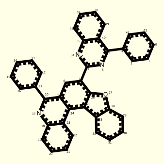 c1ccc(-c2nc(-c3cc4c(-c5ccccc5)nc5ccccc5c4c4c3oc3ccccc34)nc3ccccc23)cc1